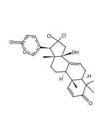 CC1(C)C(=O)C=C[C@]2(C)[C@H]3CC[C@]4(C)[C@@H](c5ccc(=O)oc5)C(Cl)(Cl)C[C@]4(O)C3=CC[C@@H]12